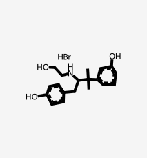 Br.CC(C)(c1cccc(O)c1)C(Cc1ccc(O)cc1)NCCO